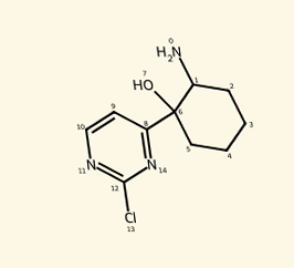 NC1CCCCC1(O)c1ccnc(Cl)n1